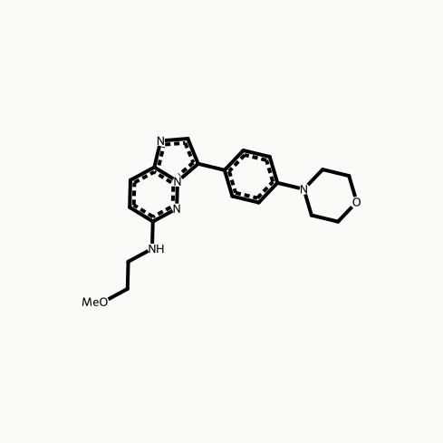 COCCNc1ccc2ncc(-c3ccc(N4CCOCC4)cc3)n2n1